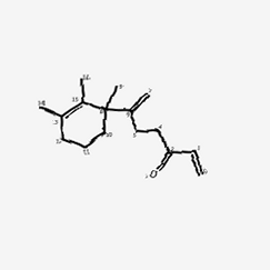 C=CC(=O)CCC(=C)C1(C)CCCC(C)=C1C